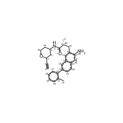 C#CC1CC(NC(=O)[C@H](C)Cc2cc3cc(-c4ccccc4C)ccc3nc2N)CCO1